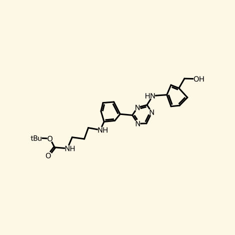 CC(C)(C)OC(=O)NCCCNc1cccc(-c2ncnc(Nc3cccc(CO)c3)n2)c1